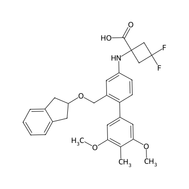 COc1cc(-c2ccc(NC3(C(=O)O)CC(F)(F)C3)cc2COC2Cc3ccccc3C2)cc(OC)c1C